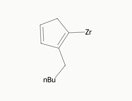 CCCCCC1=[C]([Zr])CC=C1